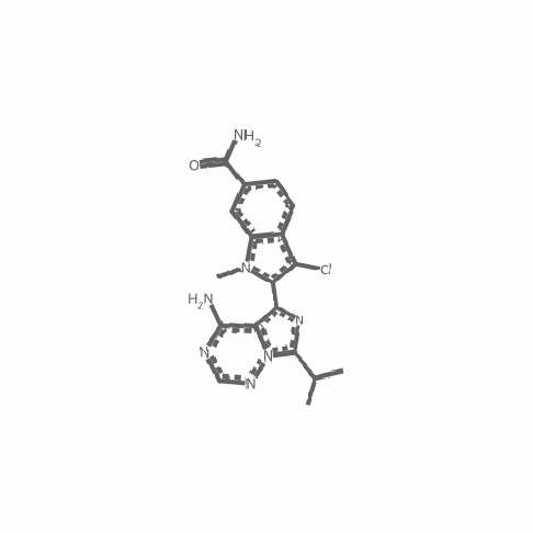 CC(C)c1nc(-c2c(Cl)c3ccc(C(N)=O)cc3n2C)c2c(N)ncnn12